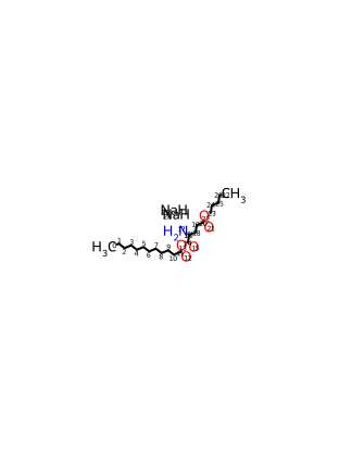 CCCCCCCCCCCC(=O)OC(=O)[C@@H](N)CCC(=O)OCCCCC.[NaH].[NaH]